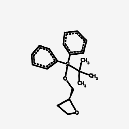 CC(C)(C)[Si](OC[C@@H]1CCO1)(c1ccccc1)c1ccccc1